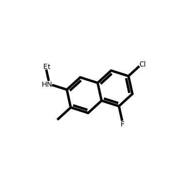 CCNc1cc2cc(Cl)cc(F)c2cc1C